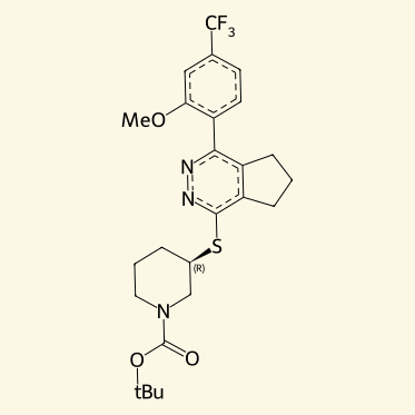 COc1cc(C(F)(F)F)ccc1-c1nnc(S[C@@H]2CCCN(C(=O)OC(C)(C)C)C2)c2c1CCC2